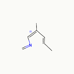 C=N/C=C(/C)C=CC